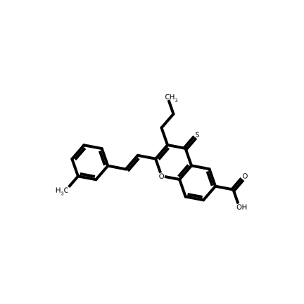 CCCc1c(/C=C/c2cccc(C)c2)oc2ccc(C(=O)O)cc2c1=S